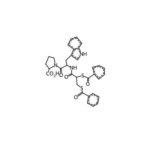 O=C(SCC(SC(=O)c1ccccc1)C(=O)NC(Cc1c[nH]c2ccccc12)C(=O)N1CCCC1C(=O)O)c1ccccc1